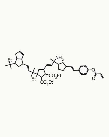 C=CC(=O)Oc1ccc(C=CC2CCC(C(C)(N)/C=C/C3CC(CC)(C(C)(C)C=CC4CC(C(C)(C)CC)C5CC=CC45)C(C(=O)OCC)C3C(=O)OCC)C2)cc1